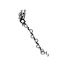 COCCOCCOCCOCCOCCOC[C@@]1(F)CC=C(OS(=O)(=O)C(F)(F)F)CC1